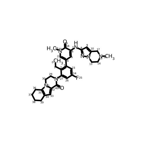 CCc1c(-c2cc(Nc3cc4n(n3)CCN(C)C4)c(=O)n(C)c2)cc(F)cc1N1CCn2c(cc3c2CCCC3)C1=O